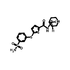 NS(=O)(=O)c1cccc(Sc2ccc(C(=O)N[C@H]3CN4CCC3CC4)s2)c1